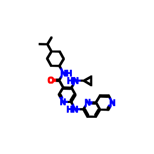 CC(C)C1CCC(NC(=O)c2cnc(Nc3ccc4cnccc4n3)cc2NC2CC2)CC1